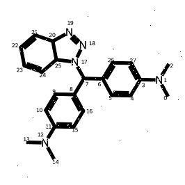 CN(C)c1ccc(C(c2ccc(N(C)C)cc2)N2N=NC3C=CC=CC32)cc1